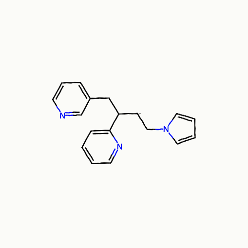 [CH](Cn1cccc1)C(Cc1cccnc1)c1ccccn1